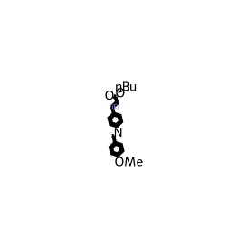 CCCCOC(=O)/C=C/c1ccc(N=Cc2ccc(OC)cc2)cc1